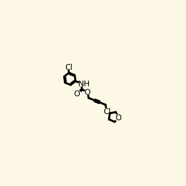 C1CCOC1.O=C(Nc1cccc(Cl)c1)OCC#CCCl